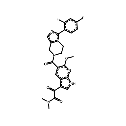 COc1nc2[nH]cc(C(=O)C(=O)N(C)C)c2cc1C(=O)N1CCn2c(cnc2-c2ccc(F)cc2F)C1